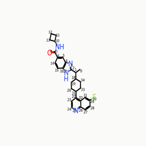 CC(c1nc2cc(C(=O)NC3CCC3)ccc2[nH]1)C1CCC(c2ccnc3ccc(F)cc23)CC1